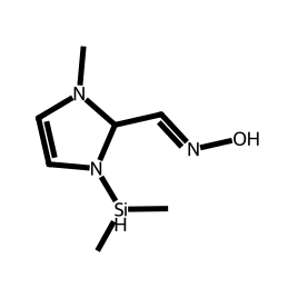 CN1C=CN([SiH](C)C)C1C=NO